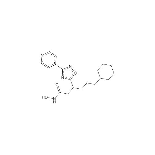 O=C(CC(CCCC1CCCCC1)c1nc(-c2ccncc2)no1)NO